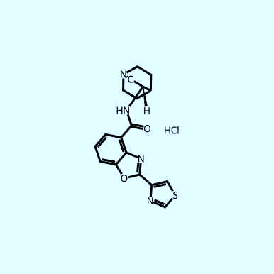 Cl.O=C(N[C@@H]1CN2CCC1CC2)c1cccc2oc(-c3cscn3)nc12